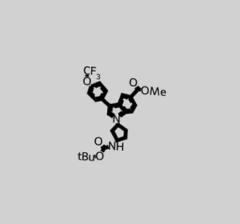 COC(=O)c1ccc2c(c1)c(-c1ccc(OC(F)(F)F)cc1)cn2C1CC[C@@H](NC(=O)OC(C)(C)C)C1